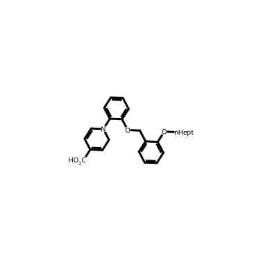 CCCCCCCOc1ccccc1COc1ccccc1N1C=CC(C(=O)O)=CC1